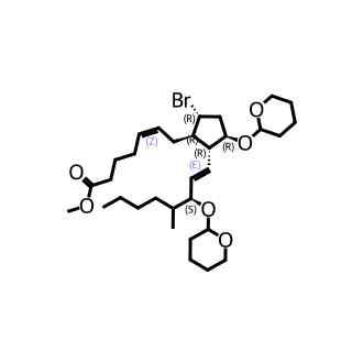 CCCCC(C)[C@@H](/C=C/[C@@H]1[C@@H](C/C=C\CCCC(=O)OC)[C@H](Br)C[C@H]1OC1CCCCO1)OC1CCCCO1